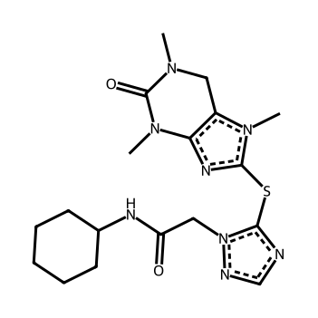 CN1Cc2c(nc(Sc3ncnn3CC(=O)NC3CCCCC3)n2C)N(C)C1=O